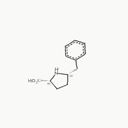 O=C(O)[C@H]1CC[C@@H](Cc2ccccc2)N1